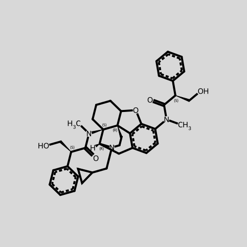 CN(C(=O)[C@H](CO)c1ccccc1)c1ccc2c3c1OC1CCC[C@@]4(N(C)C(=O)[C@H](CO)c5ccccc5)[C@@H](C2)N(CC2CC2)CC[C@]314